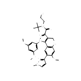 COc1cc(OC)cc(-n2nc(C(=O)N(CCO)C(C)(C)C)c3c2-c2cc(-c4ccn(C)n4)c(OC)cc2OC3)c1